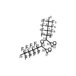 CC(F)(F)C(F)(F)C(F)(F)C(F)(F)C(OC(C1CO1)C(F)(F)C(F)(F)C(F)(F)C(C)(F)F)C1CO1